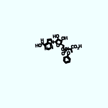 C[C@@H](N[P@@](=O)(OC[C@H]1O[C@@H](n2ccc3c(NO)ncnc32)[C@H](O)[C@@H]1O)Oc1ccccc1)C(=O)O